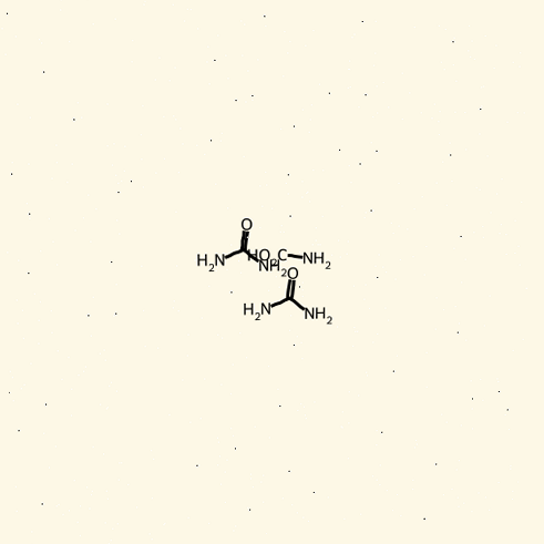 NC(=O)O.NC(N)=O.NC(N)=O